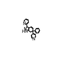 C1=CC(c2ccccc2)(c2ccncc2)Cc2[nH]nc(-c3ccccn3)c21